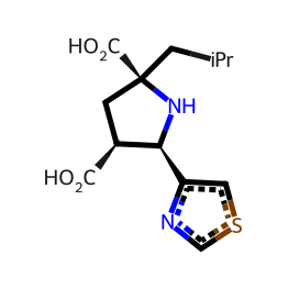 CC(C)C[C@@]1(C(=O)O)C[C@H](C(=O)O)[C@H](c2cscn2)N1